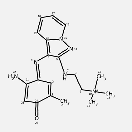 CC1=C/C(=N\c2c(NCC[N+](C)(C)C)nn3ccccc23)C(N)=CC1=O